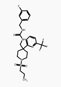 CCCS(=O)(=O)N1CCC(CNC(=O)NCc2cccc(F)c2)(c2cccc(C(F)(F)F)n2)CC1